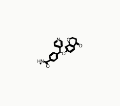 CNC(=O)c1ccc([C@@H](Oc2ccc3c(c2)OCCC3=O)c2ccncc2)cc1